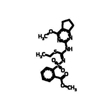 CCSC(=NS(=O)(=O)c1ccccc1C(=O)OC)Nc1nc2c(c(OC)n1)CCC2